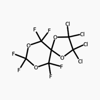 FC1(F)OC(F)(F)C2(OC(Cl)(Cl)C(Cl)(Cl)O2)C(F)(F)O1